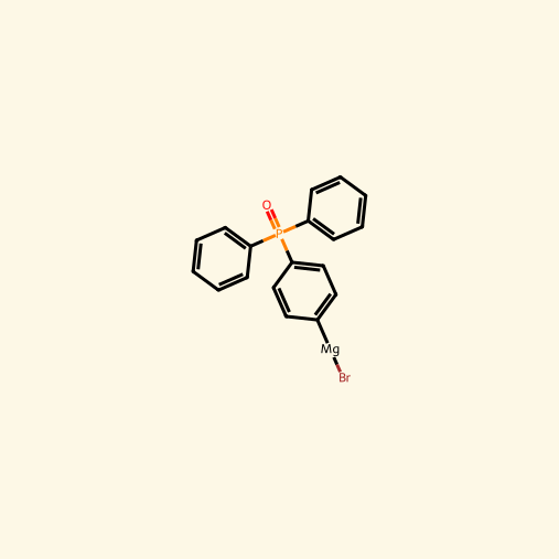 O=P(c1ccccc1)(c1ccccc1)c1cc[c]([Mg][Br])cc1